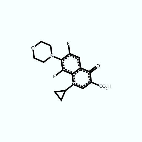 O=C(O)c1cn(C2CC2)c2c(F)c(N3CCOCC3)c(F)cc2c1=O